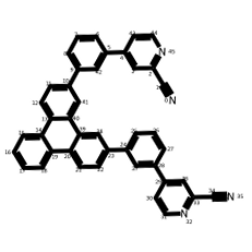 N#Cc1cc(-c2cccc(-c3ccc4c5ccccc5c5ccc(-c6cccc(-c7ccnc(C#N)c7)c6)cc5c4c3)c2)ccn1